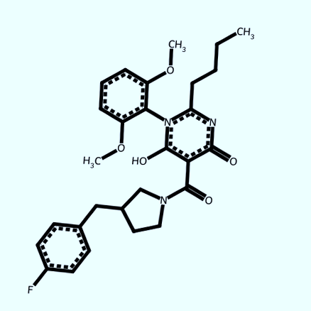 CCCCc1nc(=O)c(C(=O)N2CCC(Cc3ccc(F)cc3)C2)c(O)n1-c1c(OC)cccc1OC